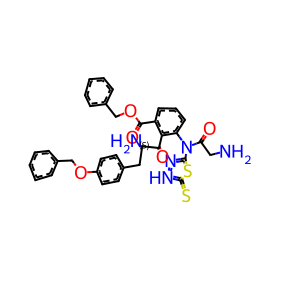 NCC(=O)N(c1n[nH]c(=S)s1)c1cccc(C(=O)OCc2ccccc2)c1C(=O)[C@@H](N)Cc1ccc(OCc2ccccc2)cc1